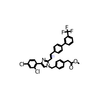 COC(=O)Cc1ccc(Cn2cc(-c3ccc(Cl)cc3Cl)nc2/C=C/c2ccc(-c3cccc(C(F)(F)F)c3)cc2)cc1